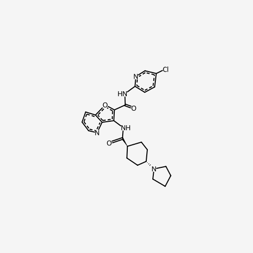 O=C(Nc1ccc(Cl)cn1)c1oc2cccnc2c1NC(=O)[C@H]1CC[C@H](N2CCCC2)CC1